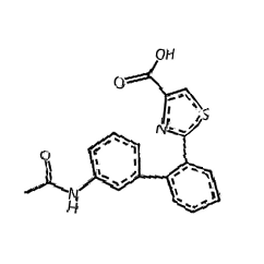 CC(=O)Nc1cccc(-c2ccccc2-c2nc(C(=O)O)cs2)c1